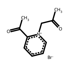 CC(=O)C[n+]1ccccc1C(C)=O.[Br-]